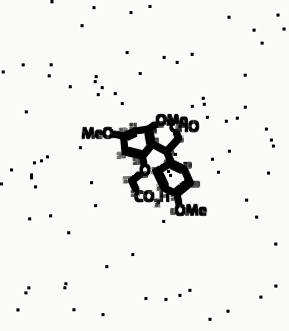 COc1ccc(C(CC=O)c2c(OC)cc(OC)cc2OCC(=O)O)cc1